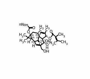 CCCCCCCCCC(=O)O[C@@]12C[C@@H](C)[C@]34C=C(C)[C@H](OC(=O)C(C)=C(C)C)[C@@]3(O)[C@H](O)C(CO)=C[C@H](C4=O)[C@@H]1C2(C)C